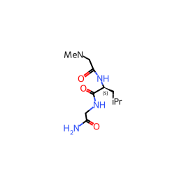 CNCC(=O)N[C@@H](CC(C)C)C(=O)NCC(N)=O